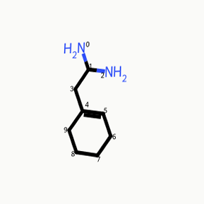 NC(N)CC1=CCCCC1